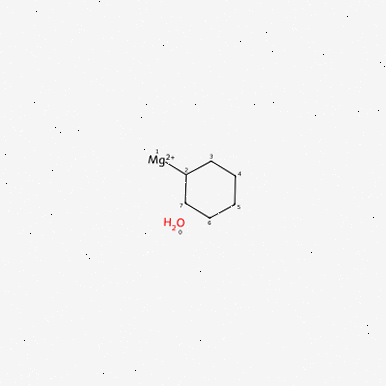 O.[Mg+2][CH]1CCCCC1